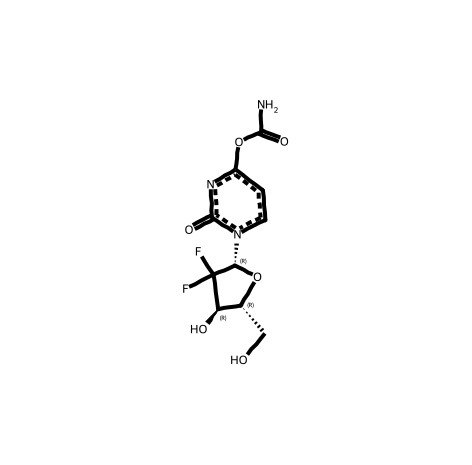 NC(=O)Oc1ccn([C@@H]2O[C@H](CO)[C@@H](O)C2(F)F)c(=O)n1